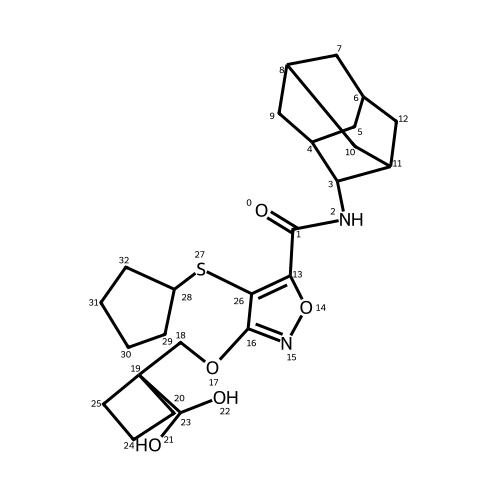 O=C(NC1C2CC3CC(C2)CC1C3)c1onc(OCC2(C(O)O)CCC2)c1SC1CCCC1